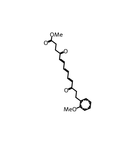 COC(=O)CCC(=O)/C=C/C=C/C=C/C(=O)CCc1ccccc1OC